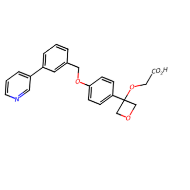 O=C(O)COC1(c2ccc(OCc3cccc(-c4cccnc4)c3)cc2)COC1